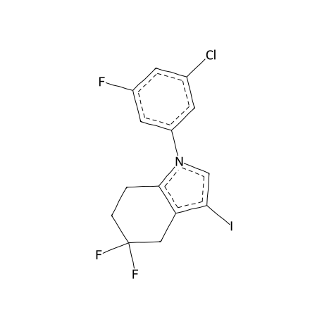 Fc1cc(Cl)cc(-n2cc(I)c3c2CCC(F)(F)C3)c1